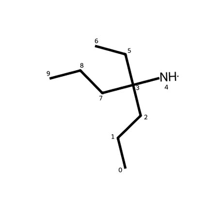 CCCC([NH])(CC)CCC